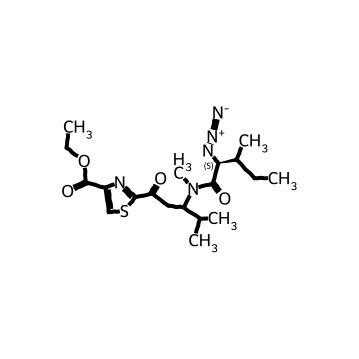 CCOC(=O)c1csc(C(=O)CC(C(C)C)N(C)C(=O)[C@@H](N=[N+]=[N-])C(C)CC)n1